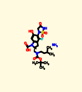 CC(C)CCN(C[C@H]1Cc2c(cc(O)c(N3CC(=O)NS3(=O)=O)c2F)N1C(=O)O)C(=O)OC(C)(C)C.N